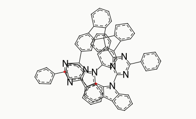 c1ccc(-c2nc(-c3ccccc3)nc(-c3ccc4c(c3)C3(c5ccccc5-4)c4ccccc4-c4ccc(-n5c6ccccc6c6ccc7c8ccccc8n(-c8nc(-c9ccccc9)nc(-c9ccccc9)n8)c7c65)cc43)n2)cc1